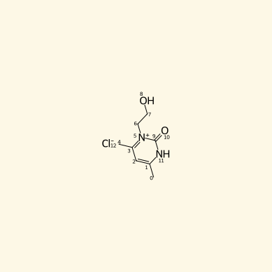 Cc1cc(C)[n+](CCO)c(=O)[nH]1.[Cl-]